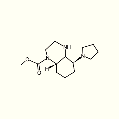 COC(=O)N1CCNC2[C@@H](N3CCCC3)CCC[C@@H]21